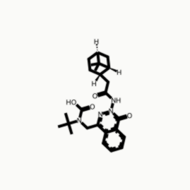 CC1(C)[C@H]2CC[C@@H](CC(=O)Nn3nc(CN(C(=O)O)C(C)(C)C)c4ccccc4c3=O)[C@H]1C2